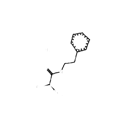 CC[C@H](C)[C@H](N)C(=O)NCCc1ccccc1.Cl